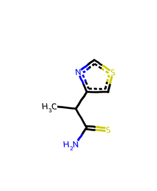 CC(C(N)=S)c1cscn1